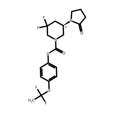 CC(F)(F)Oc1ccc(OC(=O)N2C[C@H](N3CCCC3=O)CC(F)(F)C2)cc1